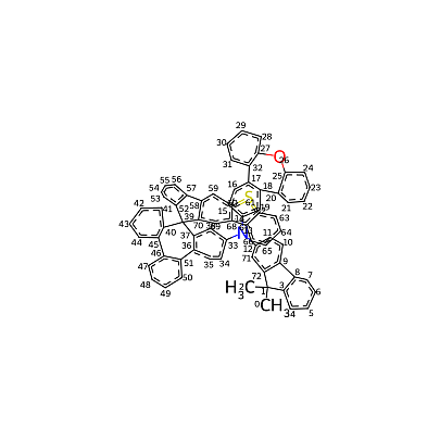 CC1(C)c2ccccc2-c2ccc(N(c3ccc4c(c3)-c3ccccc3Oc3ccccc3-4)c3ccc4c(c3)C3(c5ccccc5-c5ccccc5-4)c4ccccc4-c4cc5sc6ccccc6c5cc43)cc21